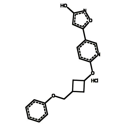 Cl.Oc1cc(-c2ccc(OC3CC(COc4ccccc4)C3)nc2)on1